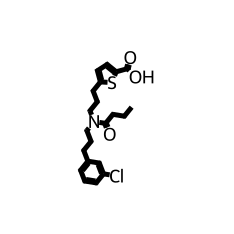 CCCC(=O)N(CCCc1cccc(Cl)c1)CCCc1ccc(C(=O)O)s1